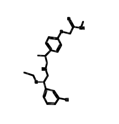 CCOC(CNCC(C)c1ccc(OCC(=O)NC)cc1)c1cccc(Cl)c1